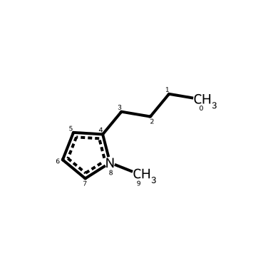 CCCCc1cccn1C